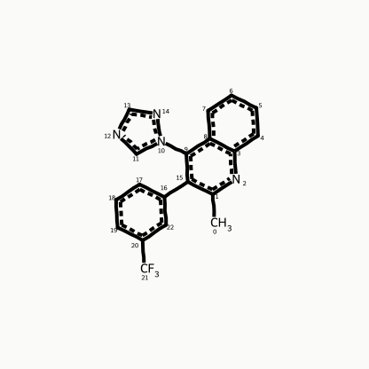 Cc1nc2ccccc2c(-n2cncn2)c1-c1cccc(C(F)(F)F)c1